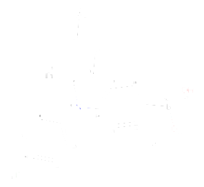 CC(=O)CCc1c(C(C)C)n(-c2ccc(F)cc2)c2cc3c(cc12)B(O)OC3